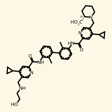 Cc1c(NC(=O)c2cc(C3CC3)c(CNCCO)cn2)cccc1-c1cccc(NC(=O)c2cc(C3CC3)c(CN3CCCC[C@H]3C(=O)O)cn2)c1C